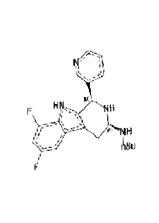 CCCCN[C@H]1Cc2c([nH]c3c(F)cc(F)cc23)[C@@H](c2cccnc2)N1